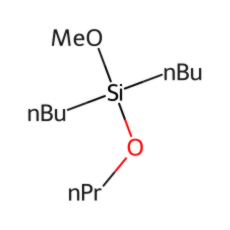 CCCC[Si](CCCC)(OC)OCCC